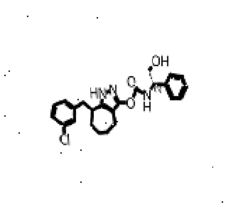 O=C(N[C@H](CO)c1ccccc1)Oc1n[nH]c2c1CCCCC2Cc1cccc(Cl)c1